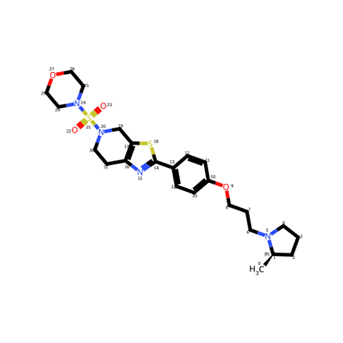 C[C@@H]1CCCN1CCCOc1ccc(-c2nc3c(s2)CN(S(=O)(=O)N2CCOCC2)CC3)cc1